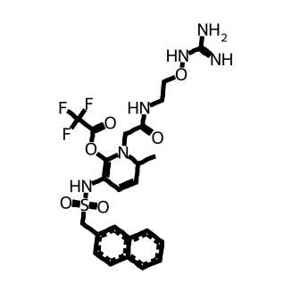 CC1C=CC(NS(=O)(=O)Cc2ccc3ccccc3c2)=C(OC(=O)C(F)(F)F)N1CC(=O)NCCONC(=N)N